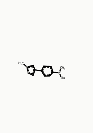 CCC(C)N(C)c1ccc(-c2cnn(C)c2)cc1